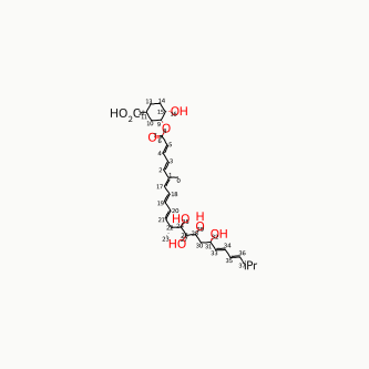 CC(/C=C/C=C/C(=O)O[C@@H]1C[C@@H](C(=O)O)CC[C@@H]1O)=C\C=C\C=C\[C@@H](C)[C@@H](O)[C@H](O)[C@H](O)C[C@@H](O)/C=C/C=C/C(C)C